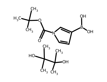 CC(C)(C)OC(=O)n1ccc(B(O)O)c1.CC(C)(O)C(C)(C)O